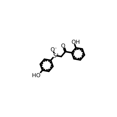 O=C(C[S+]([O-])c1ccc(O)cc1)c1ccccc1O